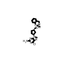 Nc1nc(Cl)c2ncn([C@H]3C=C[C@@H](COP4(=O)OCc5ccccc5O4)C3)c2n1